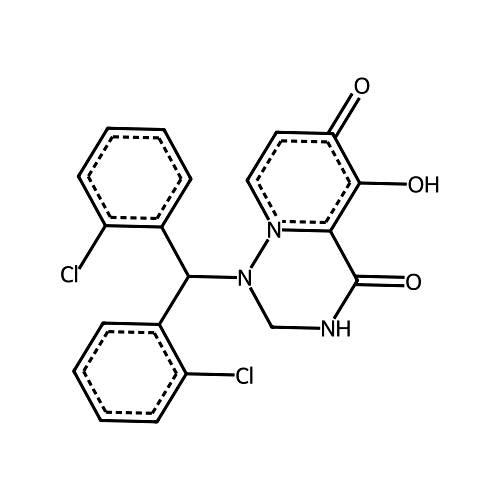 O=C1NCN(C(c2ccccc2Cl)c2ccccc2Cl)n2ccc(=O)c(O)c21